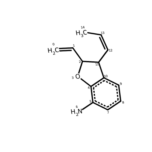 C=CC1Oc2c(N)cccc2C1/C=C\C